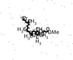 COC(=O)CCC(=O)Oc1c(C)c(C)c2c(c1C)CCC(C)(CCCC(C)CCCC(C)CCCC(C)C)O2